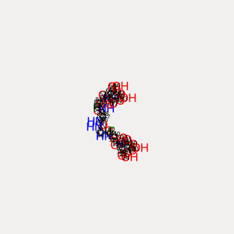 O=C(Nc1cccc(C(=O)Nc2cc(C(=O)Nc3ccc(S(=O)(=O)O)c4cc(S(=O)(=O)O)cc(S(=O)(=O)O)c34)ccc2F)c1)Nc1cccc(C(=O)Nc2cc(C(=O)Nc3ccc(S(=O)(=O)O)c4cc(S(=O)(=O)O)cc(S(=O)(=O)O)c34)ccc2F)c1